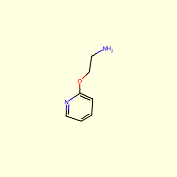 NCCOc1ccccn1